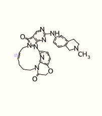 CN1CCc2cc(Nc3ncc4c(=O)n5n(c4n3)-c3ccc4c(n3)N(CCC/C=C\C5)C(=O)CO4)ccc2C1